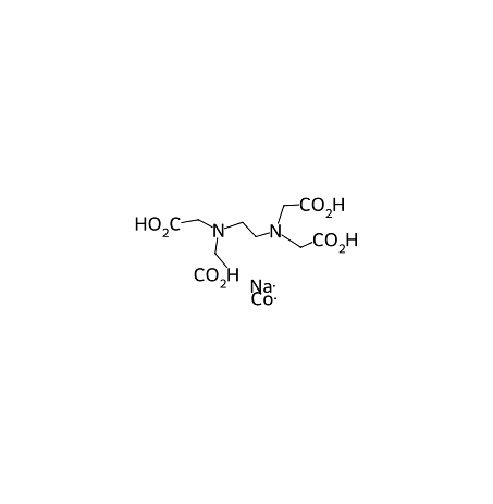 O=C(O)CN(CCN(CC(=O)O)CC(=O)O)CC(=O)O.[Co].[Na]